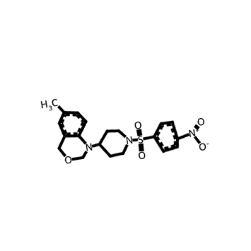 Cc1ccc2c(c1)COCN2C1CCN(S(=O)(=O)c2ccc([N+](=O)[O-])cc2)CC1